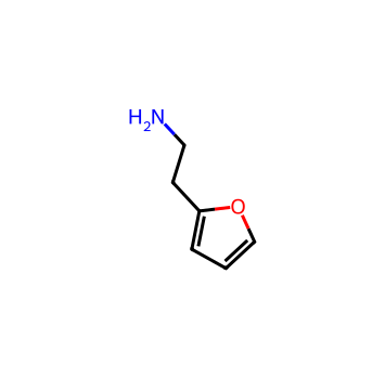 NCCc1ccco1